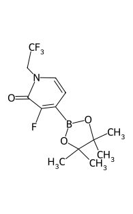 CC1(C)OB(c2ccn(CC(F)(F)F)c(=O)c2F)OC1(C)C